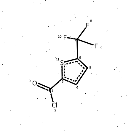 O=C(Cl)c1ccc(C(F)(F)F)s1